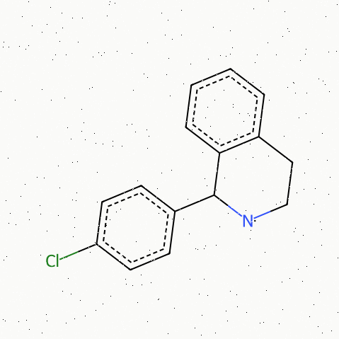 Clc1ccc(C2[N]CCc3ccccc32)cc1